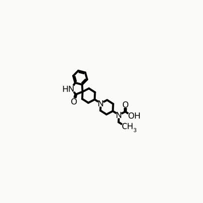 CCN(C(=O)O)C1CCN(C2CCC3(CC2)C(=O)Nc2ccccc23)CC1